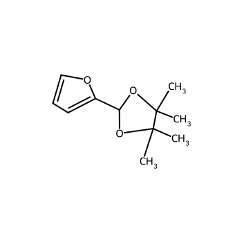 CC1(C)OC(c2ccco2)OC1(C)C